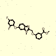 COC(=O)c1cccc(OCc2nc3ccc(Oc4ccc(F)cc4F)cc3n2C)c1